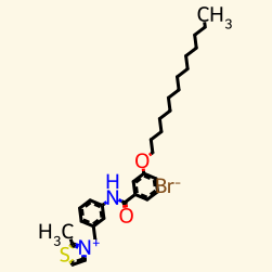 CCCCCCCCCCCCCCOc1cccc(C(=O)Nc2cccc(C[n+]3ccsc3C)c2)c1.[Br-]